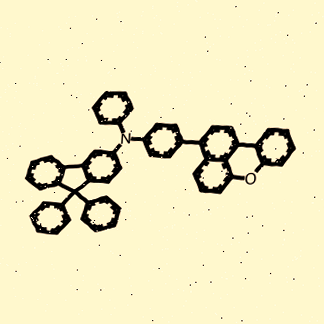 c1ccc(N(c2ccc(-c3ccc4c5c(cccc35)Oc3ccccc3-4)cc2)c2ccc3c(c2)-c2ccccc2C3(c2ccccc2)c2ccccc2)cc1